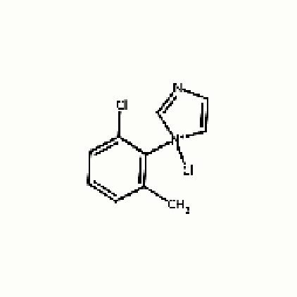 Cc1cccc(Cl)c1[N+]1(Cl)C=CN=C1